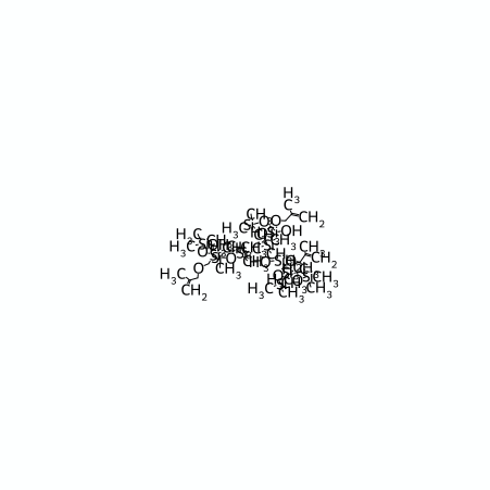 C=C(C)COC(O[Si](C)(C)C)(O[Si](C)(C)C)[SiH2]O.C=C(C)COC(O[Si](C)(C)C)([SiH2]O)[Si](C)(C)O[Si](C)(C)C.C=C(C)COC[Si](O)(O[Si](C)(C)C)[Si](C)(C)O[Si](C)(C)C